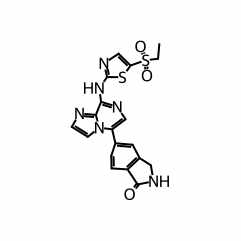 CCS(=O)(=O)c1cnc(Nc2ncc(-c3ccc4c(c3)CNC4=O)n3ccnc23)s1